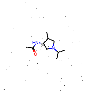 CC(=O)N[C@H]1CN(C(C)C)CC1C